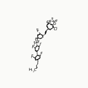 C=CCCc1cc(F)c(-c2cc(F)c(C(F)(F)Oc3ccc(C#Cc4cc(Cl)c(OC(F)(F)F)c(Cl)c4)c(F)c3)c(F)c2)c(F)c1